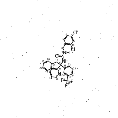 O=C(NCc1ccc(Cl)cc1Cl)NC(Cc1ccccc1)(c1cccc(C(F)(F)F)c1)c1ccccn1